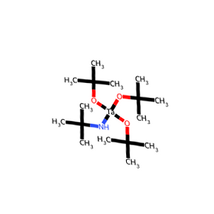 CC(C)(C)[NH][Ta]([O]C(C)(C)C)([O]C(C)(C)C)[O]C(C)(C)C